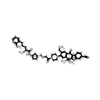 CCc1cc2c(cc1N1CCN(C(=O)COC[C@@H]3CC[C@@H](NC(=O)[C@@H](N)CCCc4cccnc4N)C3)CC1)C(C)(C)c1[nH]c3cc(C#N)ccc3c1C2=O